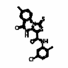 Cc1ccc2c(c1)c(=O)[nH]c1c(C(=O)Nc3cc(Cl)ccc3C)sc(=S)n12